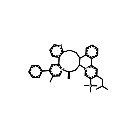 C=C1CC2C(CCc3ncccc3-c3cc(-c4ccccc4)c(C)c[n+]31)c1ccccc1-c1cc(CC(C)C)c([Si](C)(C)C)c[n+]12